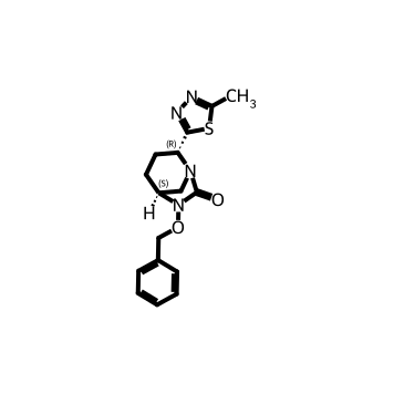 Cc1nnc([C@H]2CC[C@H]3CN2C(=O)N3OCc2ccccc2)s1